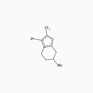 CC(C)c1c(C(F)(F)F)cc2n1CCC(C(C)(C)C)C2